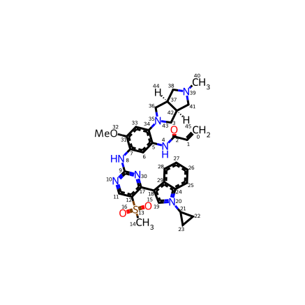 C=CC(=O)Nc1cc(Nc2ncc(S(C)(=O)=O)c(-c3cn(C4CC4)c4ccccc34)n2)c(OC)cc1N1C[C@H]2CN(C)C[C@H]2C1